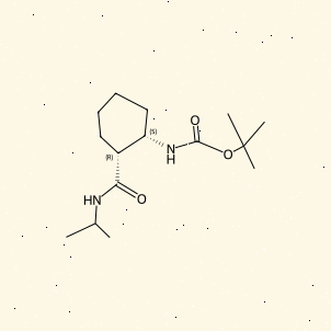 CC(C)NC(=O)[C@@H]1CCCC[C@@H]1NC(=O)OC(C)(C)C